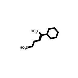 O=C(O)C(=CCCS(=O)(=O)O)C1CCCCC1